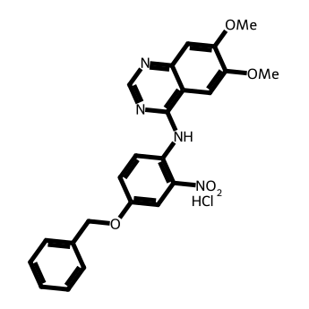 COc1cc2ncnc(Nc3ccc(OCc4ccccc4)cc3[N+](=O)[O-])c2cc1OC.Cl